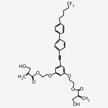 C=C(CO)C(=O)OCCOc1cc(C#Cc2ccc(-c3ccc(CCCCC(F)(F)F)cc3)cc2)cc(OCCOC(=O)C(=C)CO)c1